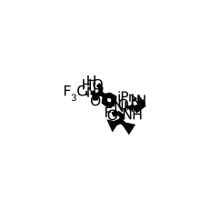 CC(C)n1nccc1C(=O)N[C@H](C(=O)Nc1ccc(C(CO)C(=O)NCC(F)(F)F)cc1F)C(=C1CC1)C1CC1